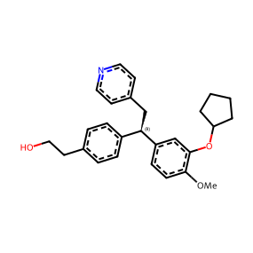 COc1ccc([C@H](Cc2ccncc2)c2ccc(CCO)cc2)cc1OC1CCCC1